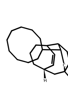 SC12CCC(C3C=C[C@@H](CCC3)C1)C(C1CCCCCCCCC1)C2